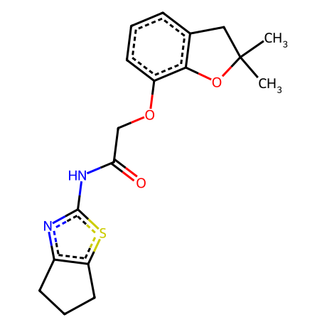 CC1(C)Cc2cccc(OCC(=O)Nc3nc4c(s3)CCC4)c2O1